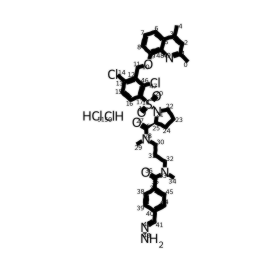 Cc1cc(C)c2cccc(OCc3c(Cl)ccc(S(=O)(=O)N4CCC[C@H]4C(=O)N(C)CCCN(C)C(=O)c4ccc(C=NN)cc4)c3Cl)c2n1.Cl.Cl